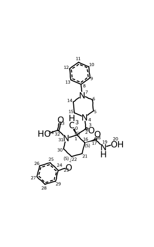 C[C@@]1(C(=O)N2CCN(c3ccccc3)CC2)[C@@H](C(=O)NO)C[C@H](Oc2ccccc2)CN1C(=O)O